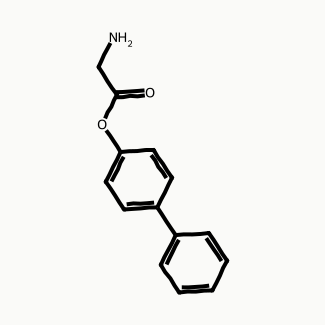 NCC(=O)Oc1ccc(-c2ccccc2)cc1